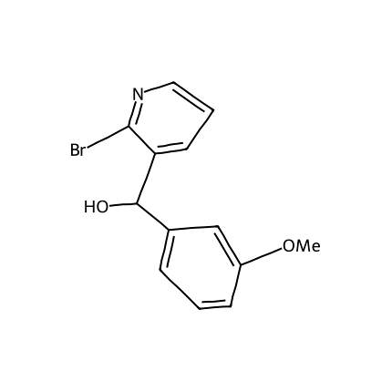 COc1cccc(C(O)c2cccnc2Br)c1